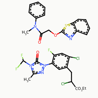 CCOC(=O)C(Cl)Cc1cc(-n2nc(C)n(C(F)F)c2=O)c(F)cc1Cl.CN(C(=O)COc1nc2ccccc2s1)c1ccccc1